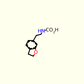 O=C(O)NCCc1ccc2c(c1)OCC2